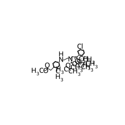 COC(=O)Cc1ccc(NCCN(C[C@H](O[Si](C)(C)C(C)(C)C)c2cccc(Cl)c2)C(=O)OC(C)(C)C)cc1C